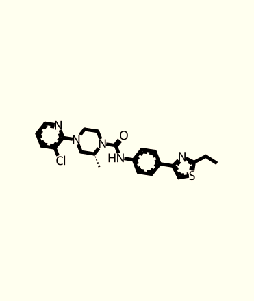 CCc1nc(-c2ccc(NC(=O)N3CCN(c4ncccc4Cl)C[C@H]3C)cc2)cs1